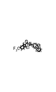 O=C(c1sc2cc(C(F)(F)F)ccc2c1Cl)N1CC(N2CCC(=O)N(c3ncccn3)CC2)C1